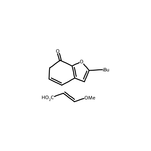 CCC(C)c1cc2c(o1)C(=O)CC=C2.CO/C=C/C(=O)O